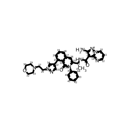 C[C@@H](NC(=O)c1c(N)nn2cccnc12)c1cc2cccc(-c3cnn(CCN4CCOCC4)c3)c2c(=O)n1-c1ccccc1